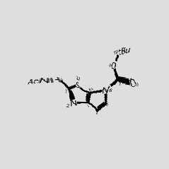 CC(=O)Nc1nc2ccn(C(=O)OC(C)(C)C)c2s1